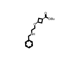 CC(C)COC(=O)[C@H]1C[C@@H](OCCNCc2ccccc2)C1